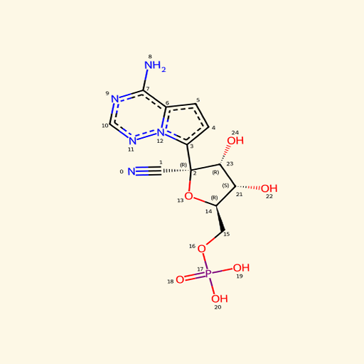 N#C[C@@]1(c2ccc3c(N)ncnn23)O[C@H](COP(=O)(O)O)[C@@H](O)[C@H]1O